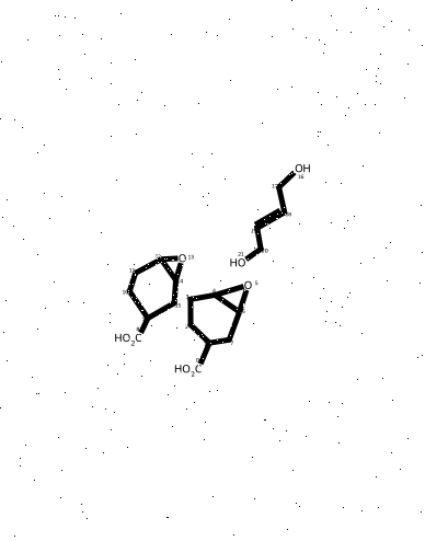 O=C(O)C1CCC2OC2C1.O=C(O)C1CCC2OC2C1.OCC=CCO